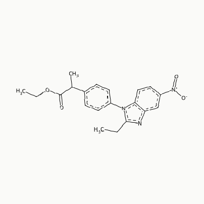 CCOC(=O)C(C)c1ccc(-n2c(CC)nc3cc([N+](=O)[O-])ccc32)cc1